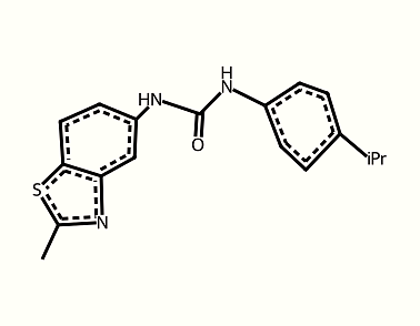 Cc1nc2cc(NC(=O)Nc3ccc(C(C)C)cc3)ccc2s1